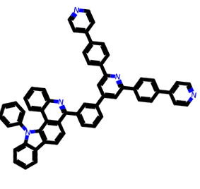 c1ccc(-n2c3ccccc3c3ccc4c(-c5cccc(-c6cc(-c7ccc(-c8ccncc8)cc7)nc(-c7ccc(-c8ccncc8)cc7)c6)c5)nc5ccccc5c4c32)cc1